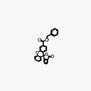 O=C(OCc1ccccc1)c1ccc2c(c1)Oc1ccccc1C21OC(=O)c2ccccc21